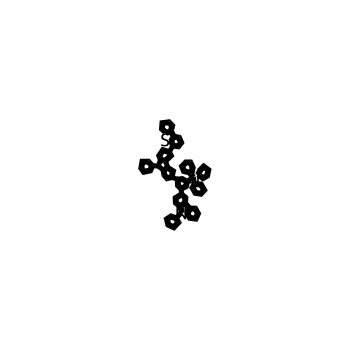 c1ccc(C2c3ccc(-c4cc(-c5ccc6c(c5)c5ccccc5n6-c5ccccc5)cc([Si](c5ccccc5)(c5ccccc5)c5ccccc5)c4)cc3-c3cc(-c4cccc5c4sc4ccccc45)ccc32)cc1